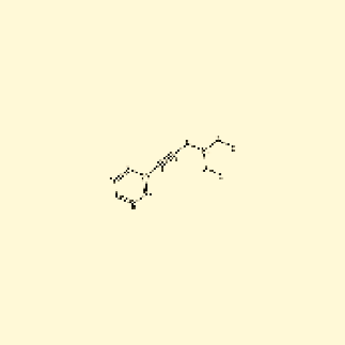 CCN(CC)CC#Cc1ccccc1